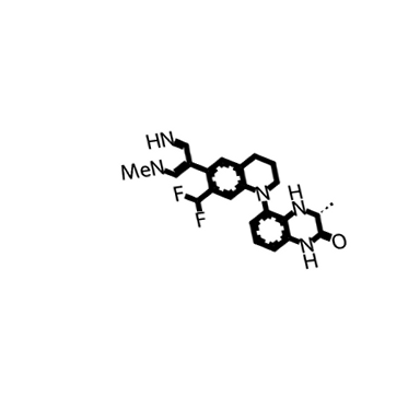 CN/C=C(\C=N)c1cc2c(cc1C(F)F)N(c1cccc3c1N[C@H](C)C(=O)N3)CCC2